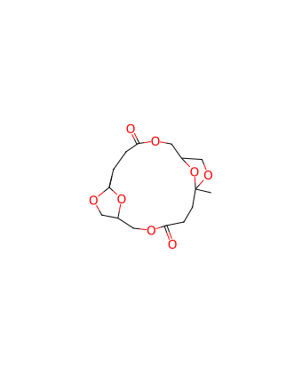 CC12CCC(=O)OCC3COC(C)(CCC(=O)OCC(CO1)O2)O3